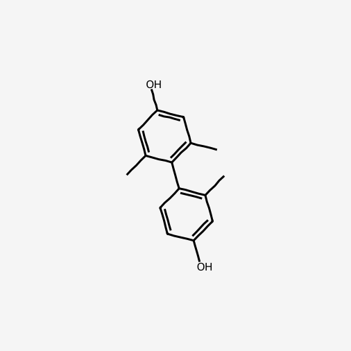 Cc1cc(O)ccc1-c1c(C)cc(O)cc1C